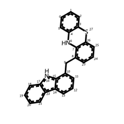 c1ccc2c(c1)Nc1c(Cc3cccc4c3[nH]c3ccccc34)cccc1S2